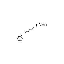 [CH2]CCCCCCCCCCCCCCCCc1ccccc1